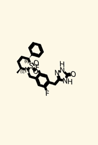 C[C@H]1CC[C@H](c2ccccc2)S(=O)(=O)N1Cc1cc(F)c(Cc2n[nH]c(=O)[nH]2)cc1F